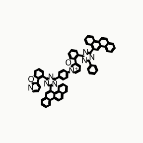 c1ccc(-c2nc(-c3cc4c5ccccc5ccc4c4ccccc34)nc(-c3cccc4oc5c(ccc[n+]5-c5ccc(-c6nc(-c7cccc8oc9ncccc9c78)nc(-c7cc8ccccc8c8ccc9ccccc9c78)n6)cc5)c34)n2)cc1